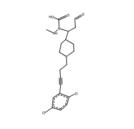 CNN(C(=O)O)C(CC=O)C1CCN(CCC#Cc2cc(Cl)ccc2Cl)CC1